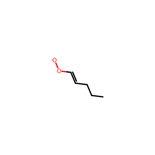 CCCC=CO[O]